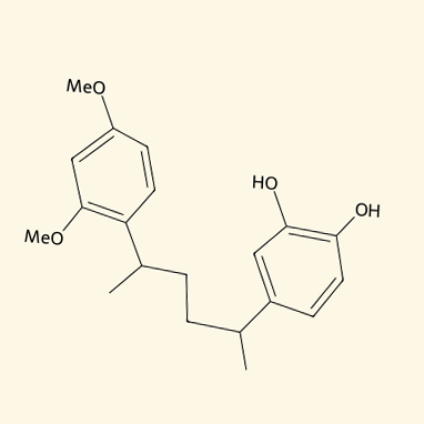 COc1ccc(C(C)CCC(C)c2ccc(O)c(O)c2)c(OC)c1